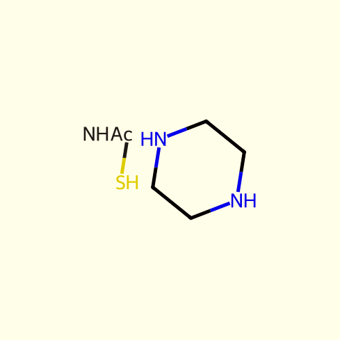 C1CNCCN1.CC(=O)NS